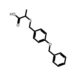 CC(SCc1ccc(OCc2ccccc2)cc1)C(=O)O